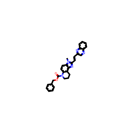 Cn1c(/C=C/c2cnc3ccccc3n2)nc2c3c(ccc21)N(C(=O)OCc1ccccc1)CCC3